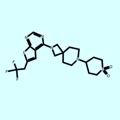 O=S1(=O)CCC(N2CCC3(CC2)CN(c2ncnc4sc(CC(F)(F)F)cc24)C3)CC1